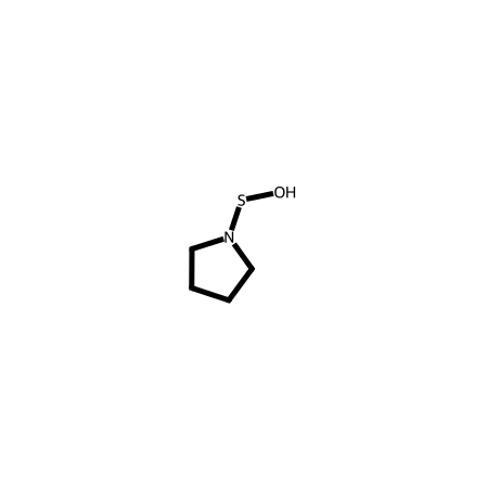 OSN1CCCC1